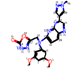 COc1cc(OC)cc(N(Cc2n[nH]c(=O)o2)c2ccc3ncc(-c4cnn(C)c4)nc3n2)c1